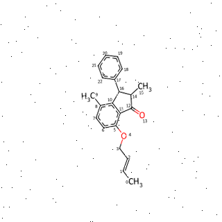 CC=CCOc1ccc(C)c2c1C(=O)C(C)C2c1ccccc1